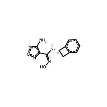 Nc1nonc1/C(=N\O)N[C@H]1Cc2ccccc21